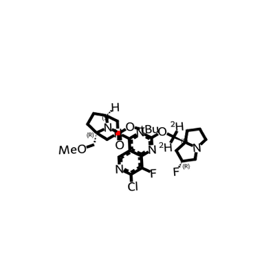 [2H]C([2H])(Oc1nc(N2C[C@@H]3CC[C@](COC)(C2)N3C(=O)OC(C)(C)C)c2cnc(Cl)c(F)c2n1)[C@@]12CCCN1C[C@H](F)C2